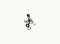 O=C(CCN1CCC1)NC(c1cccc(Cl)c1)C(F)(F)F